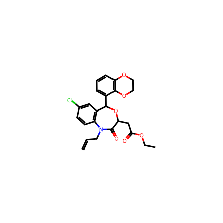 C=CCN1C(=O)C(CC(=O)OCC)OC(c2cccc3c2OCCO3)c2cc(Cl)ccc21